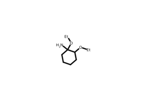 CCOC1CCCCC1(N)OCC